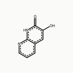 O=c1[nH]c2ncccc2cc1O